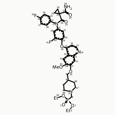 CCOP(=O)(CN1CCC(COc2cc3nccc(Oc4ccc(N(C(=O)C5(C(N)=O)CC5)c5ccc(F)cc5)cc4F)c3cc2OC)CC1)OCC